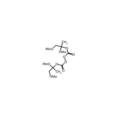 COCC(C)(OC)OC(=O)OOC(=O)OC(C)(COC)OC